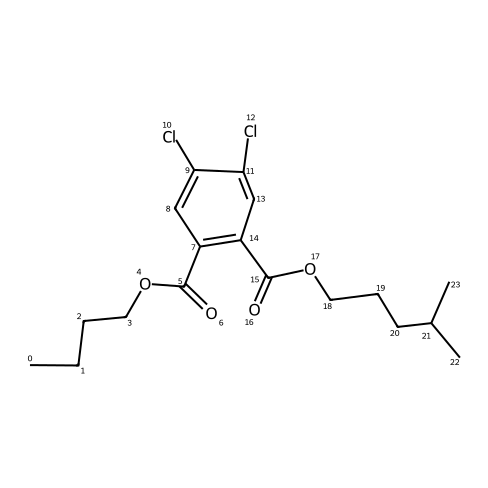 CCCCOC(=O)c1cc(Cl)c(Cl)cc1C(=O)OCCCC(C)C